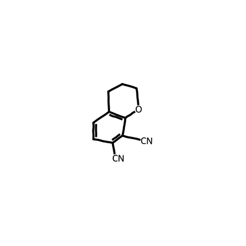 N#Cc1ccc2c(c1C#N)OCCC2